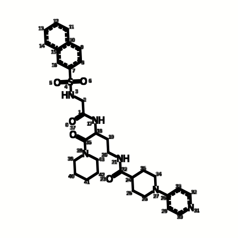 O=C(CNS(=O)(=O)c1ccc2ccccc2c1)NC(CCNC(=O)C1CCN(c2ccncc2)CC1)C(=O)N1CCCCC1